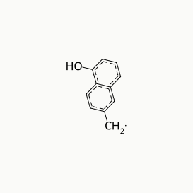 [CH2]c1ccc2c(O)cccc2c1